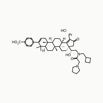 CC(C)C1=C2[C@H]3CC[C@@H]4[C@@]5(C)CC=C(c6ccc(C(=O)O)cc6)C(C)(C)[C@@H]5CC[C@@]4(C)[C@]3(C)CC[C@@]2([C@@H](O)CN(CC2CCC2)C(=O)CN2CCCC2)CC1=O.Cl